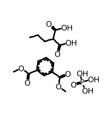 CCCC(C(=O)O)C(=O)O.COC(=O)c1cccc(C(=O)OC)c1.O=P(O)(O)O